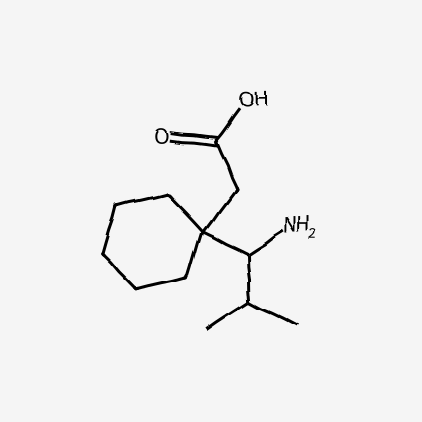 CC(C)C(N)C1(CC(=O)O)CCCCC1